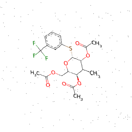 CC(=O)OCC1O[C@H](Sc2cccc(C(F)(F)F)c2)C(OC(C)=O)C(C)[C@H]1OC(C)=O